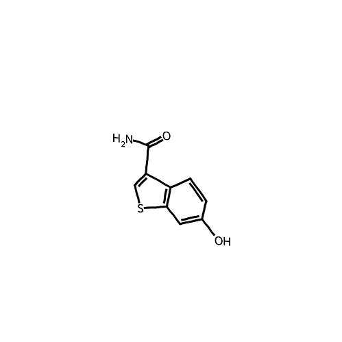 NC(=O)c1csc2cc(O)ccc12